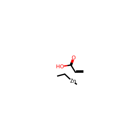 C=CC(=O)O.C[CH2][Zn][CH3]